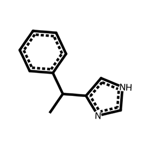 CC(c1ccccc1)c1c[nH]cn1